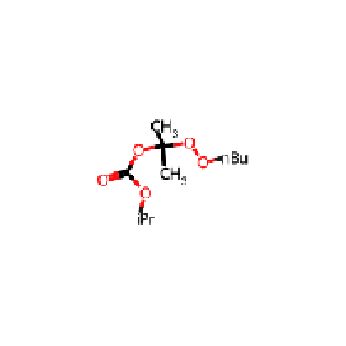 CCCCOOC(C)(C)OC(=O)OC(C)C